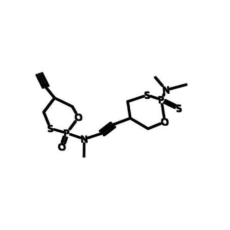 C#CC1COP(=O)(N(C)C#CC2COP(=S)(N(C)C)SC2)SC1